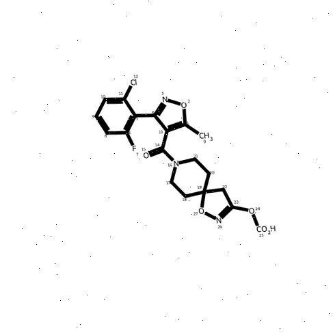 Cc1onc(-c2c(F)cccc2Cl)c1C(=O)N1CCC2(CC1)CC(OC(=O)O)=NO2